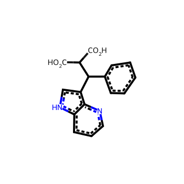 O=C(O)C(C(=O)O)C(c1ccccc1)c1c[nH]c2cccnc12